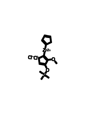 COC1=[C]([Zr+2][C]2=CC=CC2)CC=C1O[Si](C)(C)C.[Cl-].[Cl-]